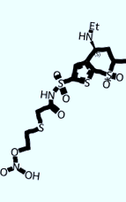 CCN[C@H]1CC(C)S(=O)(=O)c2sc(S(=O)(=O)NC(=O)CSCCON(O)O)cc21